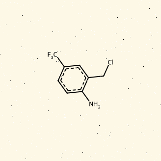 Nc1ccc(C(F)(F)F)cc1CCl